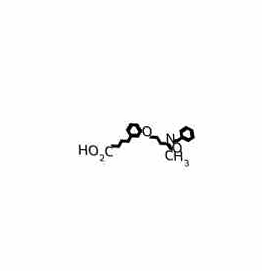 Cc1oc(-c2ccccc2)nc1CCCOc1cccc(CCCCC(=O)O)c1